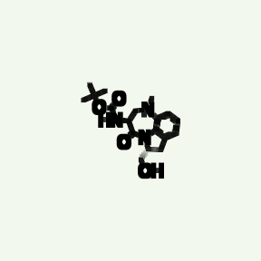 CN1C[C@H](NC(=O)OC(C)(C)C)C(=O)N2c3c(cccc31)C[C@@H]2CO